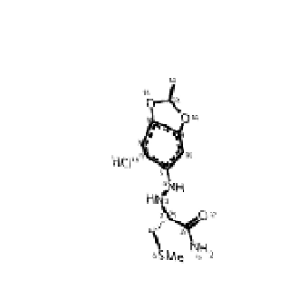 CSC[C@H](NNc1ccc2c(c1)OC(C)O2)C(N)=O.Cl